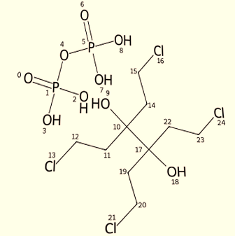 O=P(O)(O)OP(=O)(O)O.OC(CCCl)(CCCl)C(O)(CCCl)CCCl